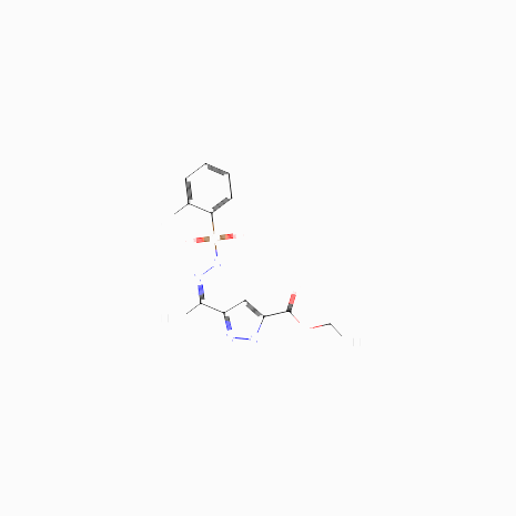 CCOC(=O)c1cc(/C(C)=N\NS(=O)(=O)c2ccccc2C)n[nH]1